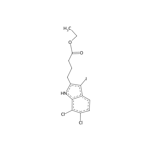 CCOC(=O)CCCc1[nH]c2c(Cl)c(Cl)ccc2c1I